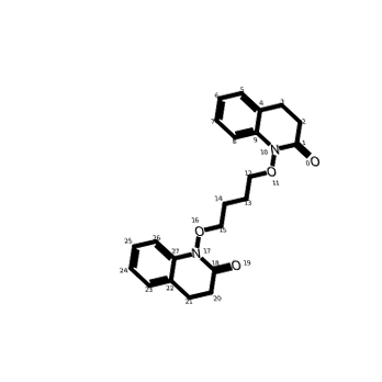 O=C1CCc2ccccc2N1OCCCCON1C(=O)CCc2ccccc21